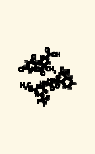 CC1(C(=O)O)CC(C(=O)O)=NN1c1ccc(Cl)cc1Cl.COc1nc(NC(=O)NS(=O)(=O)c2ccccc2C(F)(F)F)nc(C(F)(F)F)n1